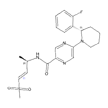 C[C@H](/C=C/S(C)(=O)=O)NC(=O)c1cnc(N2CCCC[C@H]2c2ccccc2F)cn1